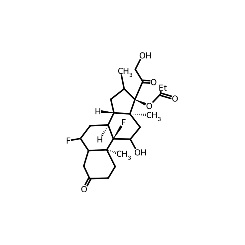 CCC(=O)O[C@]1(C(=O)CO)C(C)C[C@H]2[C@@H]3CC(F)C4CC(=O)CC[C@]4(C)[C@@]3(F)C(O)C[C@@]21C